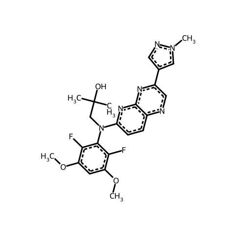 COc1cc(OC)c(F)c(N(CC(C)(C)O)c2ccc3ncc(-c4cnn(C)c4)nc3n2)c1F